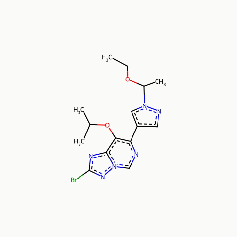 CCOC(C)n1cc(-c2ncn3nc(Br)nc3c2OC(C)C)cn1